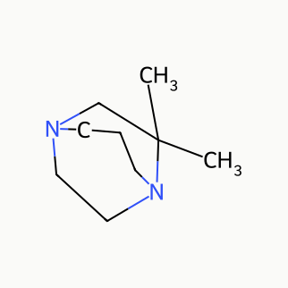 CC1(C)CN2CCCN1CC2